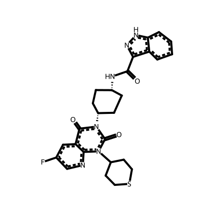 O=C(N[C@H]1CC[C@@H](n2c(=O)c3cc(F)cnc3n(C3CCSCC3)c2=O)CC1)c1n[nH]c2ccccc12